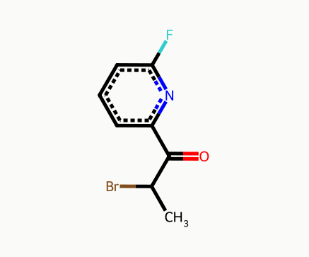 CC(Br)C(=O)c1cccc(F)n1